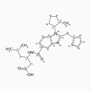 CC(C)CC(CC(=O)O)NC(=O)c1ccc2c(c1)nc(Cc1cccs1)n2C1CCCC1C